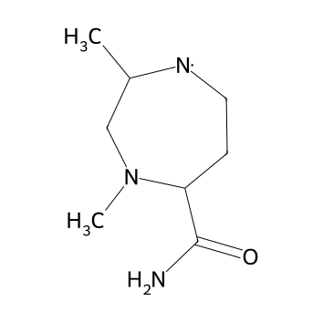 CC1CN(C)C(C(N)=O)CC[N]1